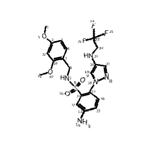 COc1ccc(CNS(=O)(=O)c2cc(N)ccc2-n2cc(NCC(F)(F)F)cn2)c(OC)c1